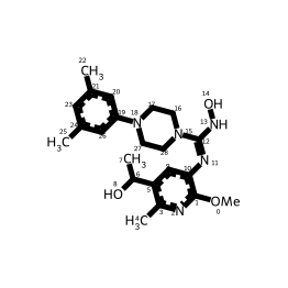 COc1nc(C)c(C(C)O)cc1N=C(NO)N1CCN(c2cc(C)cc(C)c2)CC1